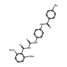 COc1cccc(OC)c1C(=O)NC(=S)Nc1ccc(NC(=O)c2ccc(C(C)(C)C)cc2)cc1